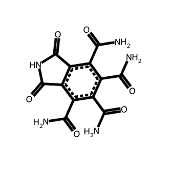 NC(=O)c1c(C(N)=O)c(C(N)=O)c2c(c1C(N)=O)C(=O)NC2=O